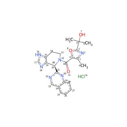 Cc1nc(C(C)(C)O)oc1C(=O)N1CCc2[nH]cnc2[C@@H]1c1ncc2ccccc2n1.Cl